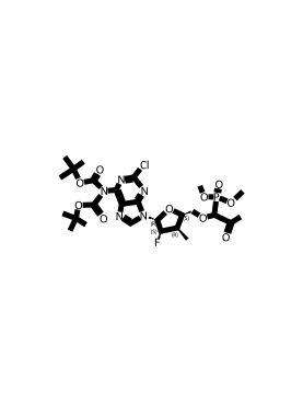 COP(=O)(OC)C(OC[C@H]1O[C@@H](n2cnc3c(N(C(=O)OC(C)(C)C)C(=O)OC(C)(C)C)nc(Cl)nc32)[C@@H](F)[C@@H]1C)C(C)=O